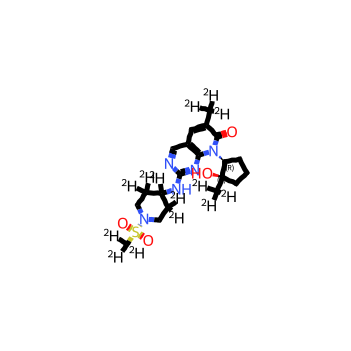 [2H]C([2H])([2H])c1cc2cnc(NC3([2H])C([2H])([2H])CN(S(=O)(=O)C([2H])([2H])[2H])CC3([2H])[2H])nc2n([C@@H]2CCC[C@]2(O)C([2H])([2H])[2H])c1=O